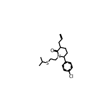 C=CCC1CCC(c2ccc(Cl)cc2)N(CCSC(C)C)C1=O